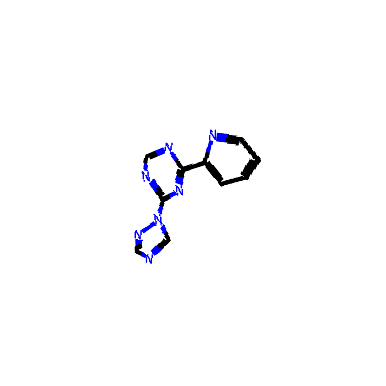 c1ccc(-c2ncnc(-n3cncn3)n2)nc1